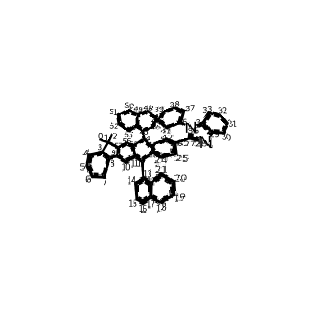 CC1(C)c2ccccc2-c2cc3c(-c4cccc5ccccc45)c4ccc(-c5nc6ccccc6n5-c5ccccc5)cc4c(-c4cccc5ccccc45)c3cc21